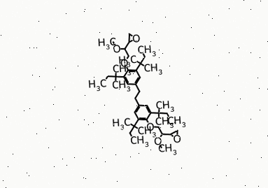 CCC(C)(C)c1cc(CCc2cc(C(C)(C)CC)c(OCC(OC)C3CO3)c(C(C)(C)CC)c2)cc(C(C)(C)CC)c1OCC(OC)C1CO1